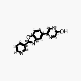 Oc1cnc(-c2ccc3oc(-c4cccnc4)nc3c2)cn1